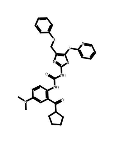 CN(C)c1ccc(NC(=O)Nc2nc(CSc3ccccc3)c(Sc3ccccn3)s2)c(C(=O)C2CCCC2)c1